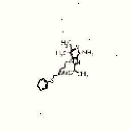 COC(C)c1nc2c(N)nc(C)c(C)c2n1CCCCCSc1ccccc1